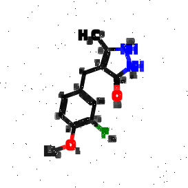 CCOc1ccc(Cc2c(C)[nH][nH]c2=O)cc1F